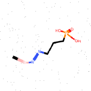 C=BN=NCCCP(=O)(O)O